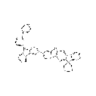 c1ccc(-c2cccc(-n3c4ccccc4c4cc(-c5ccc6c(c5)oc5cc7c(cc56)C5(CCCCC5)c5ccccc5-7)ccc43)c2)cc1